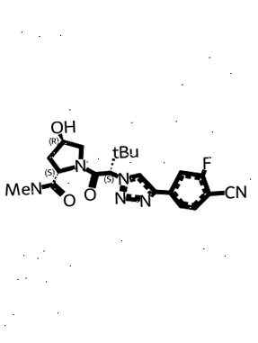 CNC(=O)[C@@H]1C[C@@H](O)CN1C(=O)[C@@H](n1cc(-c2ccc(C#N)c(F)c2)nn1)C(C)(C)C